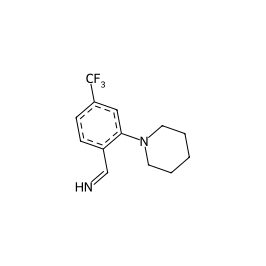 N=Cc1ccc(C(F)(F)F)cc1N1CCCCC1